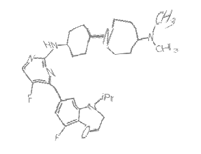 CC(C)N1CCOc2c(F)cc(-c3nc(NC4CCC(N5CCC(N(C)C)CC5)CC4)ncc3F)cc21